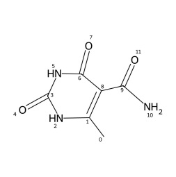 Cc1[nH]c(=O)[nH]c(=O)c1C(N)=O